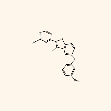 CC(=O)Oc1cccc(Cc2ccc3sc(-c4ccnc(N)n4)c(C)c3c2)c1